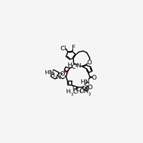 CO[C@@]1(CN2CCNCC2)C2=C[C@@H](C2)[C@H](C)[C@@H](C)S(=O)(=O)NC(=O)c2ccc3c(c2)N(Cc2ccc(Cl)c(F)c2CCCCO3)C[C@@H]2CC[C@H]21